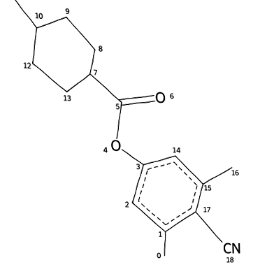 Cc1cc(OC(=O)C2CCC(C)CC2)cc(C)c1C#N